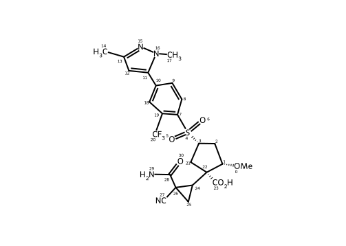 CO[C@H]1C[C@@H](S(=O)(=O)c2ccc(-c3cc(C)nn3C)cc2C(F)(F)F)C[C@]1(C(=O)O)C1CC1(C#N)C(N)=O